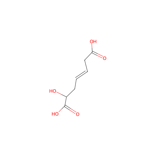 O=C(O)C/C=C/CC(O)C(=O)O